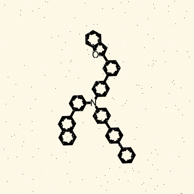 c1ccc(-c2ccc(-c3ccc(N(c4ccc(-c5cccc(-c6cc7ccccc7o6)c5)cc4)c4cccc(-c5ccc6ccccc6c5)c4)cc3)cc2)cc1